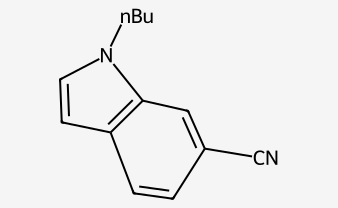 CCCCn1ccc2ccc(C#N)cc21